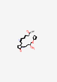 COC(=O)CCC/C=C\CC1C=CC(=O)/C1=C/CC(O)COC1=CCC=C1